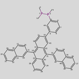 CP(C)P(C)c1cccc(-c2ccc3c(-c4ccc5ccccc5c4)c4ccccc4c(-c4ccc5ccccc5c4)c3c2)c1